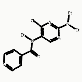 CCN(CC)c1ncc(N(CC)C(=O)c2ccncc2)c(Cl)n1